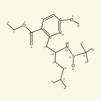 CCOC(=O)c1ccc(OC)nc1CC(CCC(C)C)N[S+]([O-])C(C)(C)C